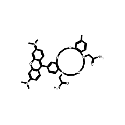 Cc1ccc2c(c1)OCCOc1cc(-c3c4ccc(=[N+](C)C)cc-4oc4cc(N(C)C)ccc34)ccc1N(CC(N)=O)CCOCCN2CC(N)=O